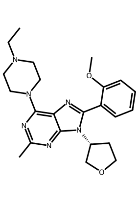 CCN1CCN(c2nc(C)nc3c2nc(-c2ccccc2OC)n3[C@@H]2CCOC2)CC1